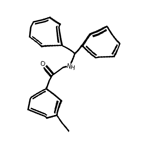 Cc1cccc(C(=O)NC(c2ccccc2)c2ccccc2)c1